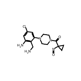 NCc1c(N)cc(Cl)cc1N1CCN(C(=O)C2(N=O)CC2)CC1